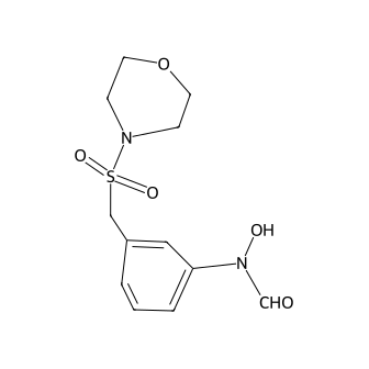 O=CN(O)c1cccc(CS(=O)(=O)N2CCOCC2)c1